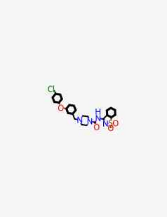 O=C(NC1=NS(=O)(=O)c2ccccc21)N1CCN(Cc2cccc(Oc3ccc(Cl)cc3)c2)CC1